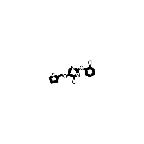 Clc1ccccc1Oc1ncc(OCc2cccs2)c(Cl)n1